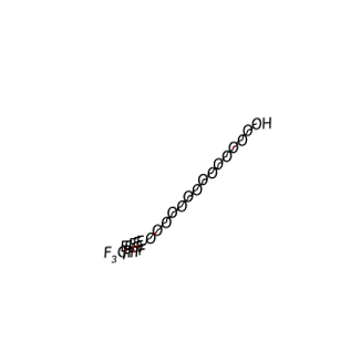 OCCOCCOCCOCCOCCOCCOCCOCCOCCOCCOCCOCCOCCOCCOCCC(F)(F)C(F)(F)C(F)(F)C(F)(F)C(F)(F)C(F)(F)F